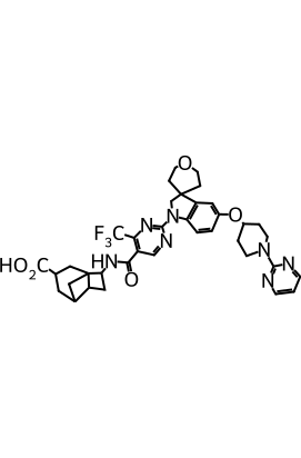 O=C(NC1CC2C3CC(C(=O)O)CC12C3)c1cnc(N2CC3(CCOCC3)c3cc(OC4CCN(c5ncccn5)CC4)ccc32)nc1C(F)(F)F